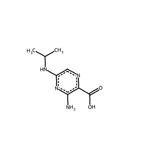 CC(C)Nc1cnc(C(=O)O)c(N)n1